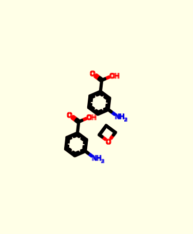 C1COC1.Nc1cccc(C(=O)O)c1.Nc1cccc(C(=O)O)c1